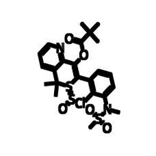 CN(c1cccc(C2=C(OC(=O)C(C)(C)C)c3ncccc3C(C)(C)S2=S=O)c1Cl)S(C)(=O)=O